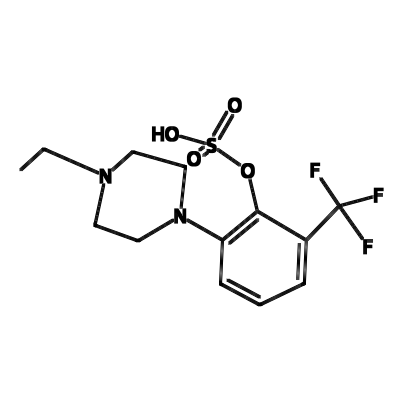 CCN1CCN(c2cccc(C(F)(F)F)c2OS(=O)(=O)O)CC1